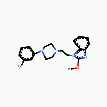 CC(C)Oc1nc2ccccc2n1CCN1CCN(c2cccc(C(F)(F)F)c2)CC1